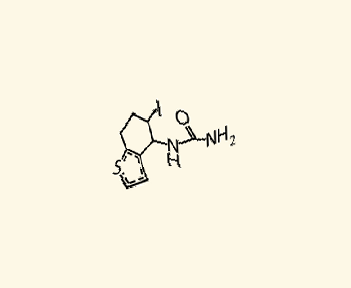 NC(=O)NC1c2ccsc2CCC1I